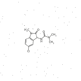 CN(C)C(=O)NC1C(=O)N(C)c2ccc(Cl)cc21